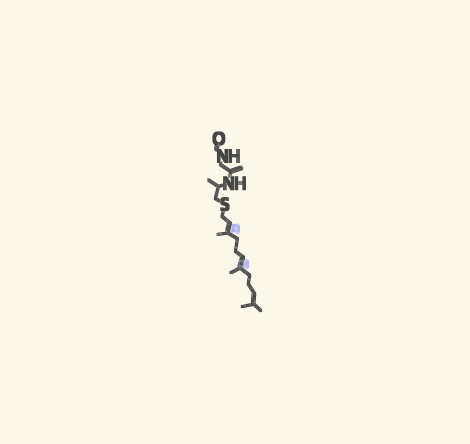 C=C(CNC=O)NC(C)CSC/C=C(\C)CC/C=C(\C)CCC=C(C)C